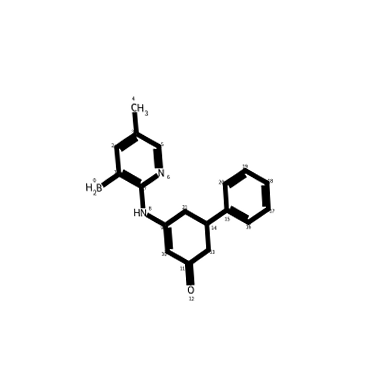 Bc1cc(C)cnc1NC1=CC(=O)CC(c2ccccc2)C1